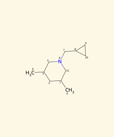 CC1CC(C)CN(CC2CC2)C1